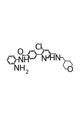 Nc1ccccc1NC(=O)c1ccc(-c2ncc(CNCC3CCOCC3)cc2Cl)cc1